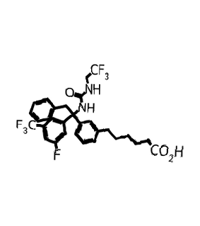 O=C(O)CCCCCc1cccc(C(Cc2ccccc2)(NC(=O)NCC(F)(F)F)c2cc(F)cc(C(F)(F)F)c2)c1